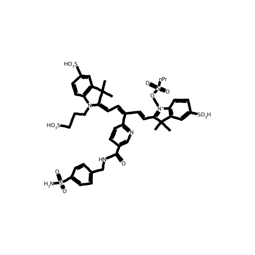 CCCS(=O)(=O)O[N+]1=C(/C=C/C(=C/C=C2/N(CCCS(=O)(=O)O)c3ccc(S(=O)(=O)O)cc3C2(C)C)c2ccc(C(=O)NCc3ccc(S(N)(=O)=O)cc3)cn2)C(C)(C)c2cc(S(=O)(=O)O)ccc21